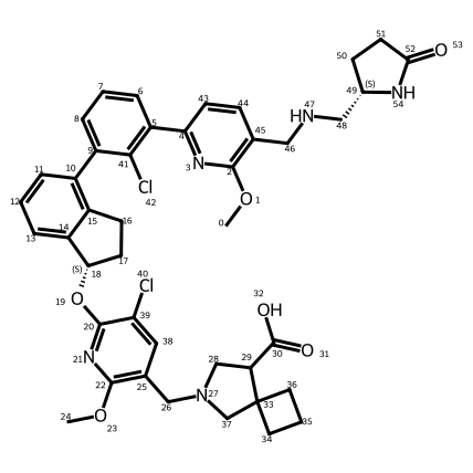 COc1nc(-c2cccc(-c3cccc4c3CC[C@@H]4Oc3nc(OC)c(CN4CC(C(=O)O)C5(CCC5)C4)cc3Cl)c2Cl)ccc1CNC[C@@H]1CCC(=O)N1